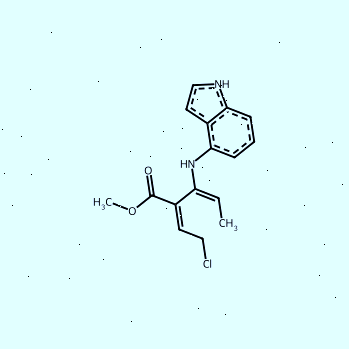 C/C=C(Nc1cccc2[nH]ccc12)\C(=C/CCl)C(=O)OC